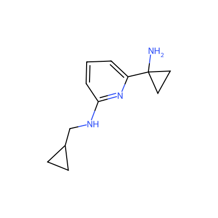 NC1(c2cccc(NCC3CC3)n2)CC1